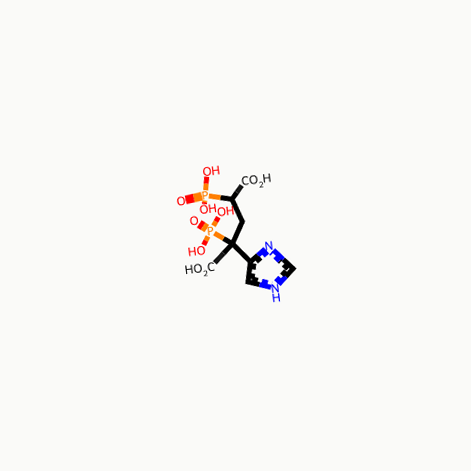 O=C(O)C(CC(C(=O)O)(c1c[nH]cn1)P(=O)(O)O)P(=O)(O)O